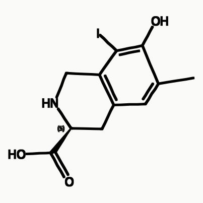 Cc1cc2c(c(I)c1O)CN[C@H](C(=O)O)C2